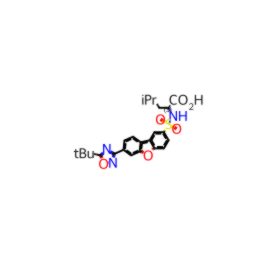 CC(C)C[C@H](NS(=O)(=O)c1ccc2oc3cc(-c4noc(C(C)(C)C)n4)ccc3c2c1)C(=O)O